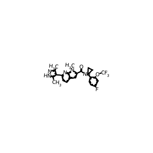 Cc1n[nH]c(C)c1-c1ccc2cc(C(=O)NC3(c4ccc(F)cc4OC(F)(F)F)CC3)n(C)c2n1